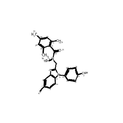 CCCN(Cc1nc2cc(I)ccc2n1-c1ccc(OC)cc1)C(=O)c1c(C)cc(C)cc1C